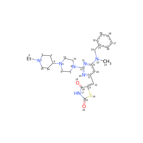 CCN1CCC(N2CCN(c3nc(C=C4SC(=O)NC4=O)cc(N(C)Cc4ccccc4)n3)CC2)CC1